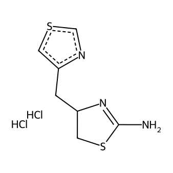 Cl.Cl.NC1=NC(Cc2cscn2)CS1